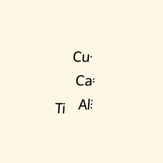 [Al].[Ca].[Cu].[Ti]